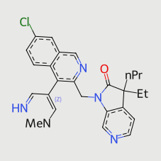 CCCC1(CC)C(=O)N(Cc2ncc3cc(Cl)ccc3c2/C(C=N)=C/NC)c2cnccc21